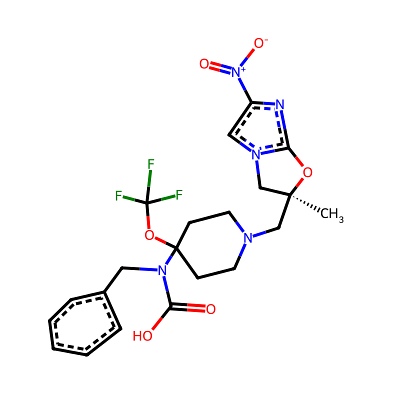 C[C@]1(CN2CCC(OC(F)(F)F)(N(Cc3ccccc3)C(=O)O)CC2)Cn2cc([N+](=O)[O-])nc2O1